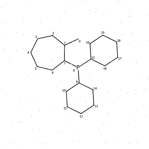 CC1CCCCCC1P(C1CCCCC1)C1CCCCC1